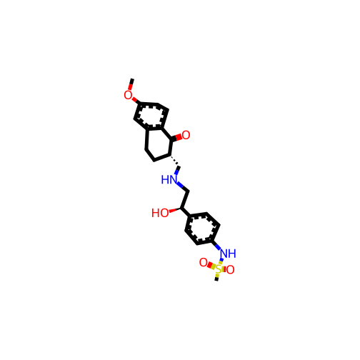 COc1ccc2c(c1)CC[C@@H](CNC[C@H](O)c1ccc(NS(C)(=O)=O)cc1)C2=O